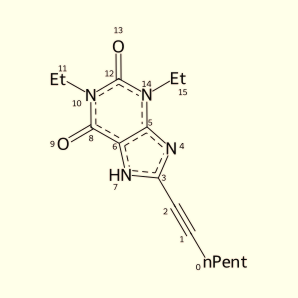 CCCCCC#Cc1nc2c([nH]1)c(=O)n(CC)c(=O)n2CC